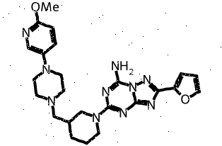 COc1ccc(N2CCN(CC3CCCN(c4nc(N)n5nc(-c6ccco6)nc5n4)C3)CC2)cn1